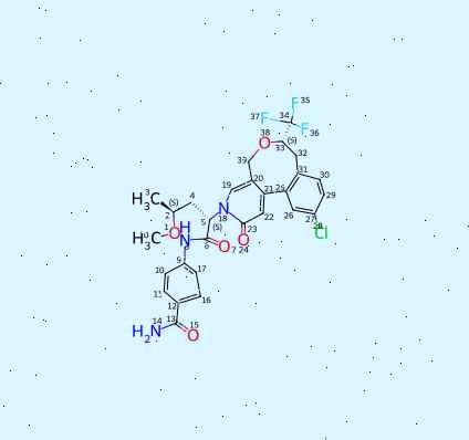 CO[C@@H](C)C[C@@H](C(=O)Nc1ccc(C(N)=O)cc1)n1cc2c(cc1=O)-c1cc(Cl)ccc1C[C@@H](C(F)(F)F)OC2